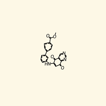 COC(=O)c1ccc(-c2cccc(NC3=CC(=O)c4ncncc4C3=O)c2)cc1